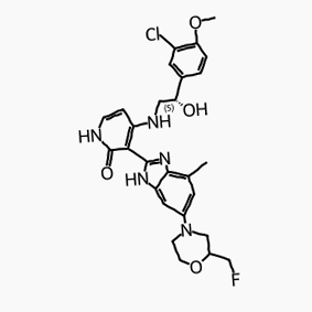 COc1ccc([C@H](O)CNc2cc[nH]c(=O)c2-c2nc3c(C)cc(N4CCOC(CF)C4)cc3[nH]2)cc1Cl